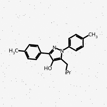 Cc1ccc(-c2nn(-c3ccc(C)cc3)c(CC(C)C)c2O)cc1